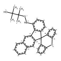 CC(C)(O)C(C)(C)OBc1cccc2c1-c1cc3ccccc3cc1C21c2ccccc2Oc2ccccc21